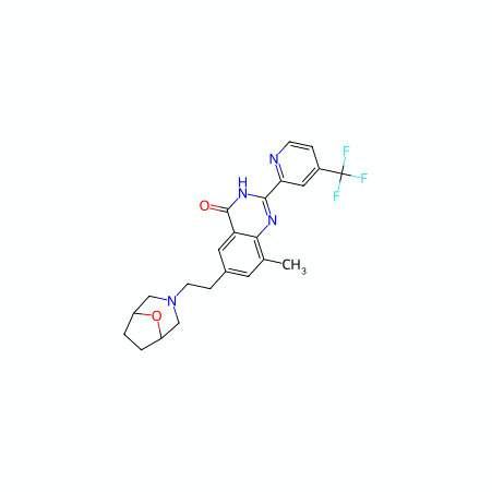 Cc1cc(CCN2CC3CCC(C2)O3)cc2c(=O)[nH]c(-c3cc(C(F)(F)F)ccn3)nc12